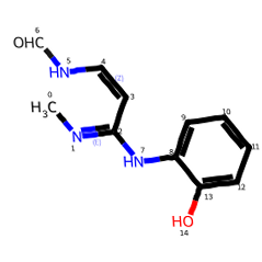 C/N=C(\C=C/NC=O)Nc1ccccc1O